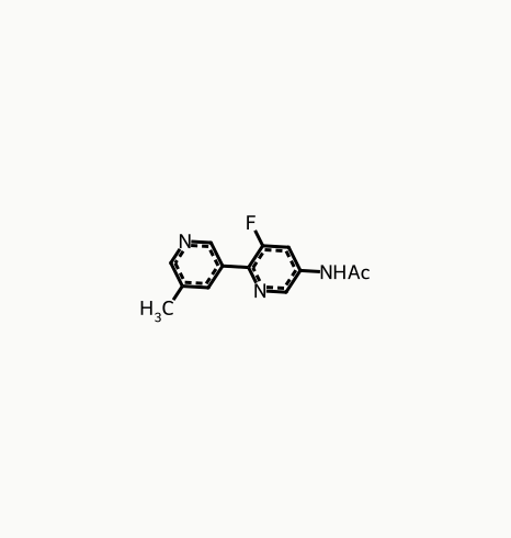 CC(=O)Nc1cnc(-c2cncc(C)c2)c(F)c1